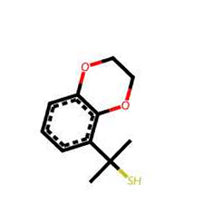 CC(C)(S)c1cccc2c1OCCO2